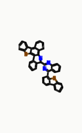 c1ccc2c(-c3cccc4c3sc3ccccc34)nc(-c3nc4c5ccccc5c5c6ccccc6sc5c4c4ccccc34)nc2c1